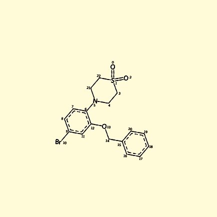 O=S1(=O)CCN(c2ccc(Br)cc2OCc2ccccc2)CC1